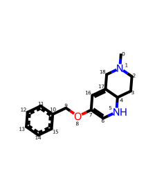 CN1CCC2NC=C(OCc3ccccc3)C=C2C1